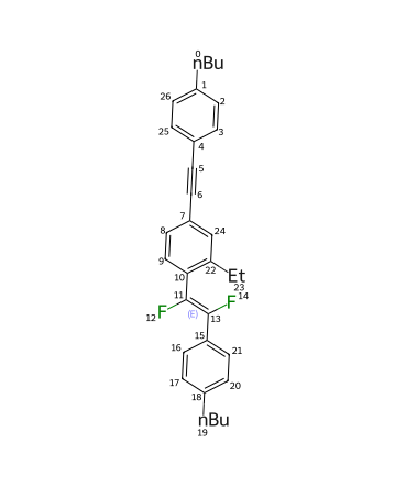 CCCCc1ccc(C#Cc2ccc(/C(F)=C(\F)c3ccc(CCCC)cc3)c(CC)c2)cc1